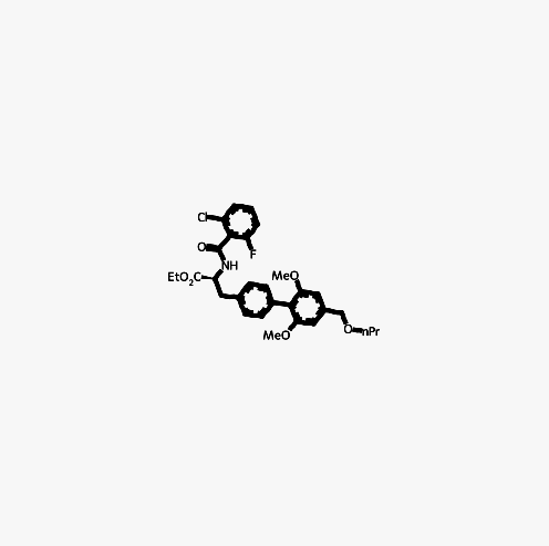 CCCOCc1cc(OC)c(-c2ccc(C[C@H](NC(=O)c3c(F)cccc3Cl)C(=O)OCC)cc2)c(OC)c1